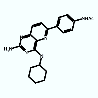 CC(=O)Nc1ccc(-c2ccc3nc(N)nc(NC4CCCCC4)c3n2)cc1